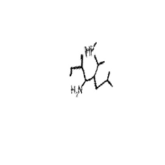 CCC(C)C(N)C(CC(C)C)C(C)PC